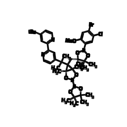 COc1cc(Br)c(Cl)cc1B1OC(C)(C)C(C)(CC2(C(C)(C)c3ccnc(-c4cc(C(C)(C)C)ccn4)c3)C3(C)OB(B4OC(C)(C)C(C)(C)O4)OC32C)O1